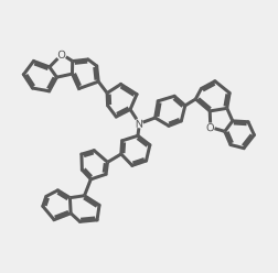 c1cc(-c2cccc(N(c3ccc(-c4ccc5oc6ccccc6c5c4)cc3)c3ccc(-c4cccc5c4oc4ccccc45)cc3)c2)cc(-c2cccc3ccccc23)c1